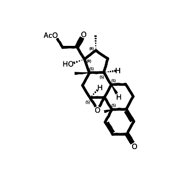 CC(=O)OCC(=O)[C@@]1(O)[C@H](C)C[C@H]2[C@@H]3CCC4=CC(=O)C=C[C@]4(C)C34O[C@H]4C[C@@]21C